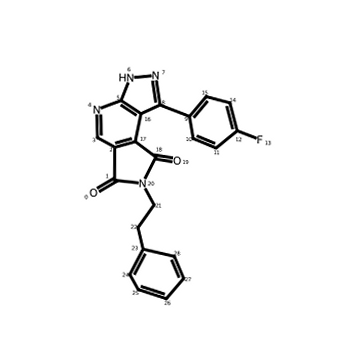 O=C1c2cnc3[nH]nc(-c4ccc(F)cc4)c3c2C(=O)N1CCc1ccccc1